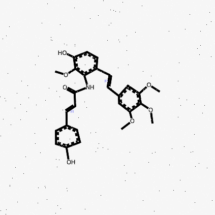 COc1cc(/C=C/c2ccc(O)c(OC)c2NC(=O)/C=C/c2ccc(O)cc2)cc(OC)c1OC